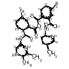 Cc1ccc(NC(=O)c2cc(Br)ccc2C(=O)OC(=O)c2cc(C(F)(F)F)ccc2C(=O)Nc2cnc(C)c(C)n2)nc1